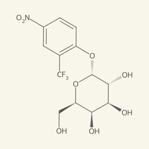 O=[N+]([O-])c1ccc(O[C@H]2O[C@H](CO)[C@H](O)[C@H](O)[C@H]2O)c(C(F)(F)F)c1